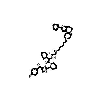 O=C(CNCCCCCN1CCC2(CC1)OCCc1sc(-c3ccncc3)cc12)NC(C(=O)N1CCCCC1c1nc(C(=O)c2ccc(F)cc2)cs1)C1CCCCC1